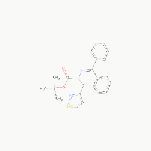 CC(C)(C)OC(=O)C(Cc1ccsn1)N=C(c1ccccc1)c1ccccc1